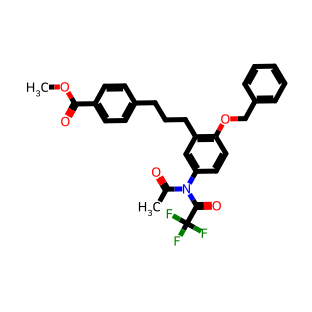 COC(=O)c1ccc(CCCc2cc(N(C(C)=O)C(=O)C(F)(F)F)ccc2OCc2ccccc2)cc1